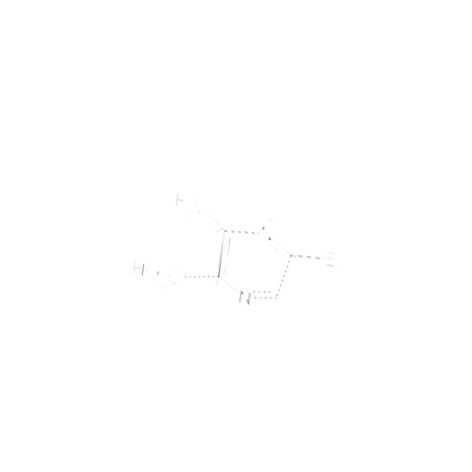 CCc1cnc(C(=O)O)c(C(F)(F)F)n1